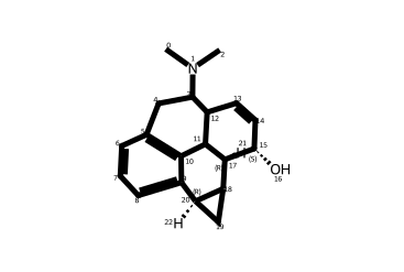 CN(C)C1Cc2cccc3c2C2C1C=C[C@H](O)[C@@H]2C1C[C@@H]31